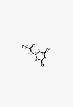 CCC(=O)OC1CC(=O)CC(=O)C1